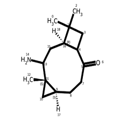 CC1(C)CC2C(=O)CC[C@H]3C[C@]3(C)C(N)C[C@H]21